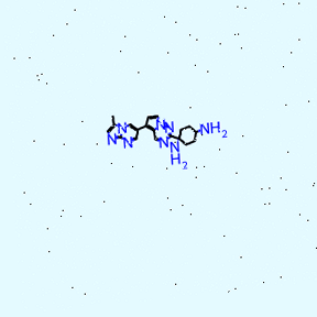 Cc1cnc2ncc(-c3ccn4nc(C5(N)CCC(N)CC5)ncc34)cn12